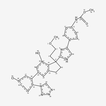 COCCC1(c2nc(-c3ccc(NC(=O)OC)cc3)c[nH]2)CCc2cc(-c3cc(Cl)ccc3-n3cnnn3)c[n+](O)c21